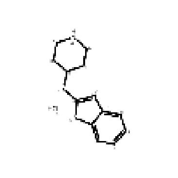 Cl.c1ccc2sc(SC3CCNCC3)nc2c1